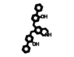 Oc1cc(Cc2cc3c(cc2Cc2ccc(-c4ccccc4)c(O)c2)CNCC3)ccc1-c1ccccc1